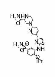 CC(C)Oc1ccc(S(N)(=O)=O)cc1Nc1nc(C2=CCC(N3CCNC(C(N)=O)C3)N=C2)cs1